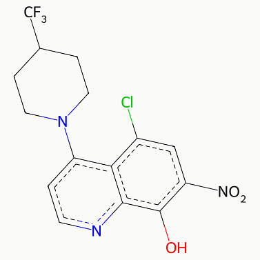 O=[N+]([O-])c1cc(Cl)c2c(N3CCC(C(F)(F)F)CC3)ccnc2c1O